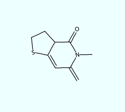 C=C1C=C2SCCC2C(=O)N1C